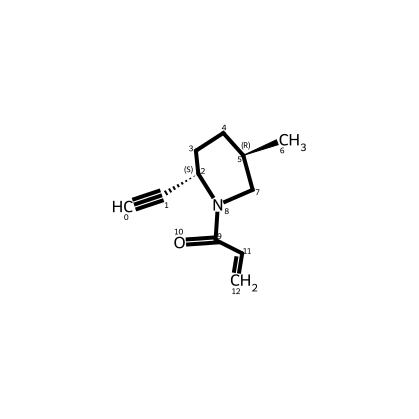 C#C[C@@H]1CC[C@@H](C)CN1C(=O)C=C